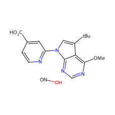 COc1ncnc2c1c(C(C)(C)C)cn2-c1cc(C(=O)O)ccn1.O=NO